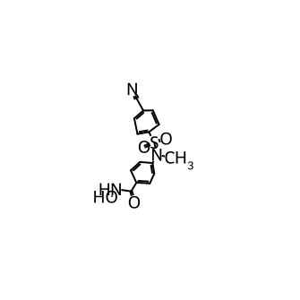 CN(c1ccc(C(=O)NO)cc1)S(=O)(=O)c1ccc(C#N)cc1